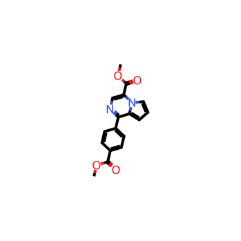 COC(=O)c1ccc(-c2ncc(C(=O)OC)n3cccc23)cc1